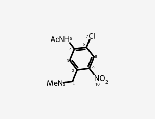 CNCc1cc(NC(C)=O)c(Cl)cc1[N+](=O)[O-]